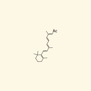 CC(=O)C=C(C)C=CC=C(C)C=CC1=C(C)CCCC1(C)C